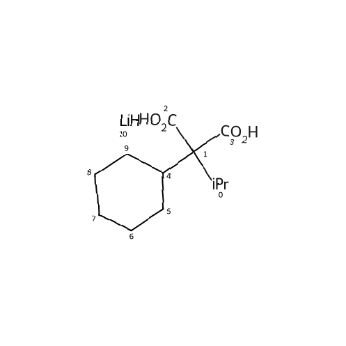 CC(C)C(C(=O)O)(C(=O)O)C1CCCCC1.[LiH]